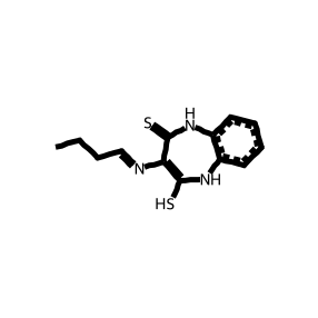 CCC/C=N/C1=C(S)Nc2ccccc2NC1=S